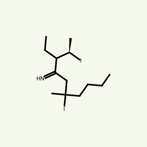 CCCCC(C)(I)CC(=N)C(CC)[C@@H](C)I